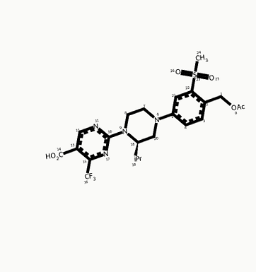 CC(=O)OCc1ccc(N2CCN(c3ncc(C(=O)O)c(C(F)(F)F)n3)[C@H](C(C)C)C2)cc1S(C)(=O)=O